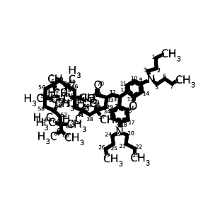 CCCCN(CCCC)c1ccc2c(c1)Oc1cc(N(CCCC)CCCC)ccc1C2CC(CC(C)(C)CC(C)(C)CC(C)(C)CC(C)(C)CC(C)(C)CC(C)(C)CC(C)(C)CC(C)(C)C(C)C)C(=O)O